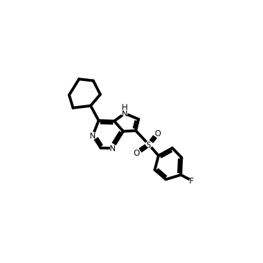 O=S(=O)(c1ccc(F)cc1)c1c[nH]c2c(C3CCCCC3)ncnc12